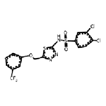 O=S(=O)(Nc1nnc(COc2cccc(C(F)(F)F)c2)s1)c1ccc(Cl)c(Cl)c1